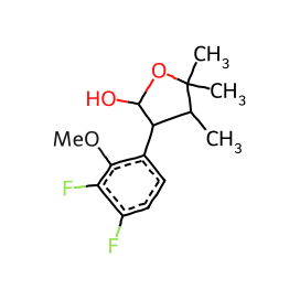 COc1c(C2C(O)OC(C)(C)C2C)ccc(F)c1F